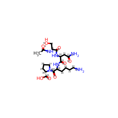 CC(=O)NC(CO)C(=O)NC(CC(N)=O)C(=O)NC(CCCCN)C(=O)N1CCC[C@H]1C(=O)O